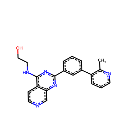 Cc1ncccc1-c1cccc(-c2nc(NCCO)c3ccncc3n2)c1